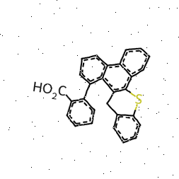 O=C(O)c1ccccc1-c1cccc2c1c1c(c3ccccc32)Sc2ccccc2C1